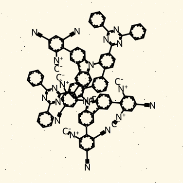 [C-]#[N+]c1cc(C#N)cc(C#N)c1-c1ccc2c(c1)c1cc(-c3c([N+]#[C-])cc(C#N)cc3[N+]#[C-])ccc1n2-c1cc(-c2nc(-c3ccccc3)nc(-c3ccccc3)n2)ccc1-c1cccc(-c2ccc(-c3nc(-c4ccccc4)nc(-c4ccccc4)n3)cc2-n2c3ccc(-c4c(C#N)cc(C#N)cc4[N+]#[C-])cc3c3cc(-c4c([N+]#[C-])cc(C#N)cc4[N+]#[C-])ccc32)c1